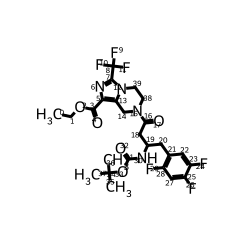 CCOC(=O)c1nc(C(F)(F)F)n2c1CN(C(=O)CC(Cc1cc(F)c(F)cc1F)NC(=O)OC(C)(C)C)CC2